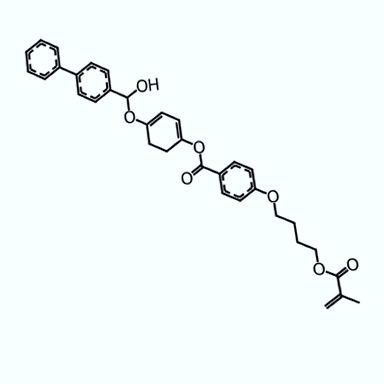 C=C(C)C(=O)OCCCCOc1ccc(C(=O)OC2=CC=C(OC(O)c3ccc(-c4ccccc4)cc3)CC2)cc1